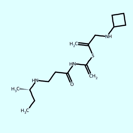 C=C(CNC1CCC1)SC(=C)NC(=O)CCN[C@@H](C)CC